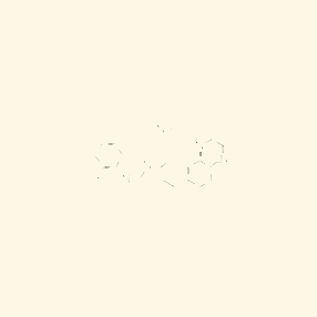 O=C1N=C(Nc2c(Cl)cccc2Cl)SC1=Cc1ccc2nccnc2c1.[Na]